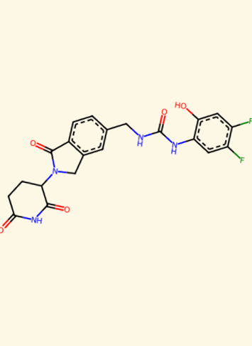 O=C1CCC(N2Cc3cc(CNC(=O)Nc4cc(F)c(F)cc4O)ccc3C2=O)C(=O)N1